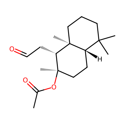 CC(=O)O[C@]1(C)CC[C@H]2C(C)(C)CCC[C@]2(C)[C@H]1CC=O